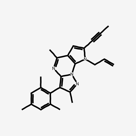 C=CCn1c(C#CC)cc2c(C)nc3c(-c4c(C)cc(C)cc4C)c(C)nn3c21